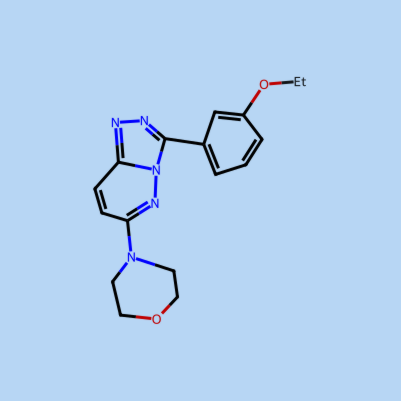 CCOc1cccc(-c2nnc3ccc(N4CCOCC4)nn23)c1